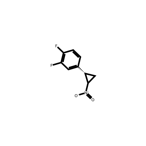 O=[N+]([O-])C1C[C@H]1c1ccc(F)c(F)c1